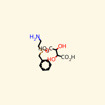 NCC[S+]([O-])Cc1ccccc1.O=C(O)C(O)C(O)C(=O)O